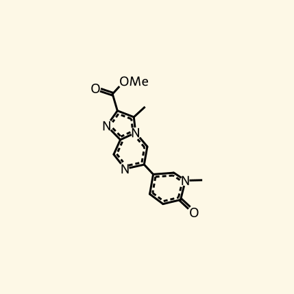 COC(=O)c1nc2cnc(-c3ccc(=O)n(C)c3)cn2c1C